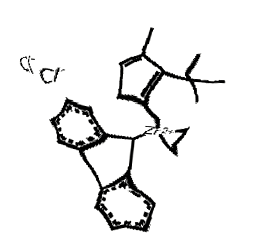 CC1=CC[C]([Zr+2]2([CH]3c4ccccc4-c4ccccc43)[CH2][CH2]2)=C1C(C)(C)C.[Cl-].[Cl-]